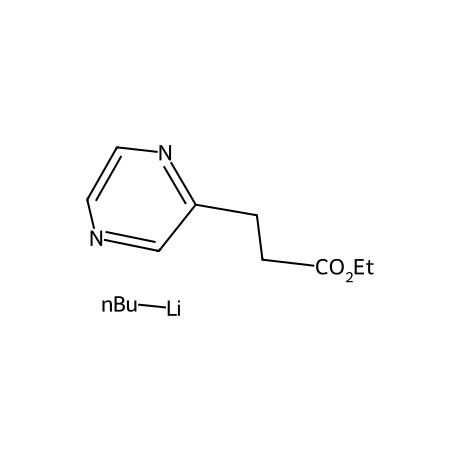 CCOC(=O)CCc1cnccn1.[Li][CH2]CCC